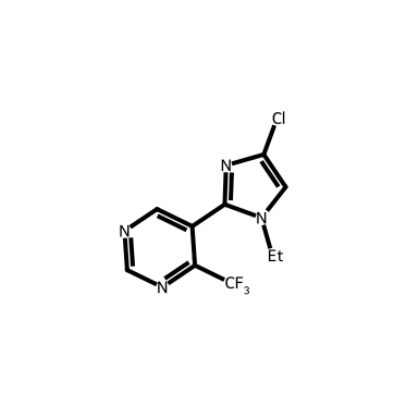 CCn1cc(Cl)nc1-c1cncnc1C(F)(F)F